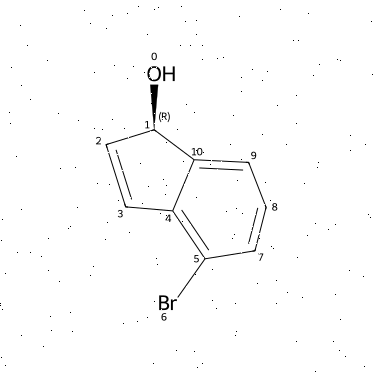 O[C@@H]1C=Cc2c(Br)cccc21